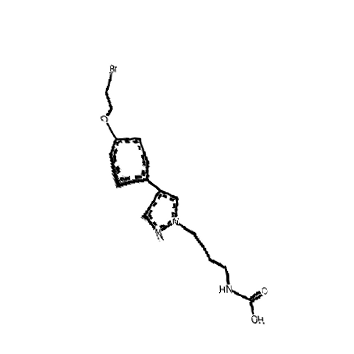 O=C(O)NCCCn1cc(-c2ccc(OCCBr)cc2)cn1